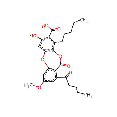 CCCCCc1c2c(cc(O)c1C(=O)O)Oc1cc(OC)cc(C(=O)CCCC)c1C(=O)O2